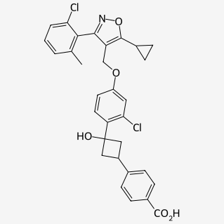 Cc1cccc(Cl)c1-c1noc(C2CC2)c1COc1ccc(C2(O)CC(c3ccc(C(=O)O)cc3)C2)c(Cl)c1